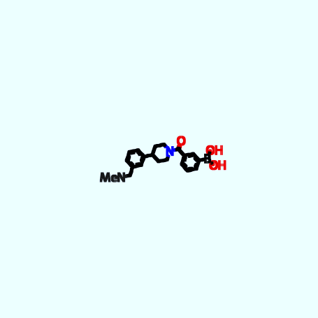 CNCc1cccc(C2CCN(C(=O)c3cccc(B(O)O)c3)CC2)c1